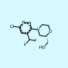 OC[C@@H]1CN(c2nnc(Cl)cc2C(F)F)CCO1